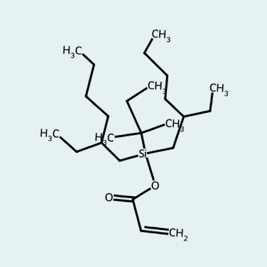 C=CC(=O)O[Si](CC(CC)CCCC)(CC(CC)CCCC)C(C)(C)CC